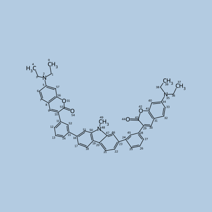 CCN(CC)c1ccc2cc(-c3cccc(-c4ccc5c6ccc(-c7cccc(-c8cc9ccc(N(CC)CC)cc9oc8=O)c7)cc6n(C)c5c4)c3)c(=O)oc2c1